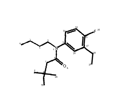 CCCCN(C(=O)CC(C)(C)C)c1ccc(F)c(CC)c1